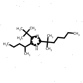 CCCCCC(C)(C)c1nc(C(C)(C)C)c(C(C)CCC)[nH]1